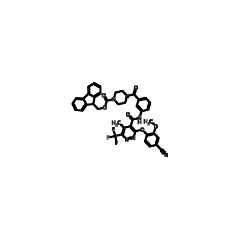 COc1cc(C#N)ccc1Oc1nnc(C(F)(F)F)c(C)c1C(=O)Nc1cccc(C(=O)N2CCN(C(=O)OCC3c4ccccc4-c4ccccc43)CC2)c1